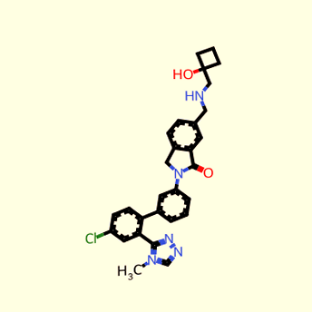 Cn1cnnc1-c1cc(Cl)ccc1-c1cccc(N2Cc3ccc(CNCC4(O)CCC4)cc3C2=O)c1